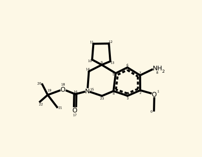 COc1cc2c(cc1N)C1(CCCC1)CN(C(=O)OC(C)(C)C)C2